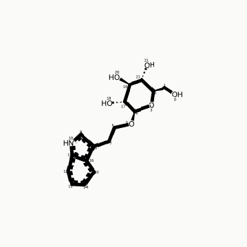 OC[C@H]1O[C@@H](OCCc2c[nH]c3ccccc23)[C@H](O)[C@@H](O)[C@@H]1O